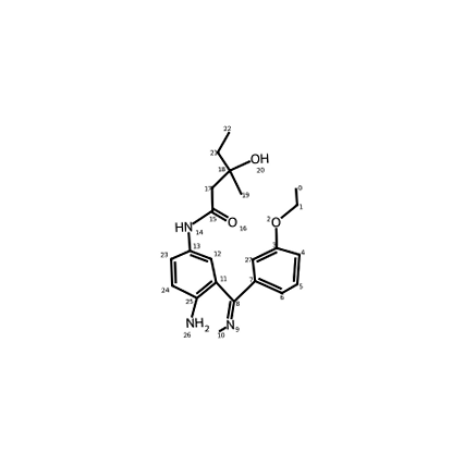 CCOc1cccc(/C(=N/C)c2cc(NC(=O)CC(C)(O)CC)ccc2N)c1